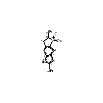 CC(C)c1cc2cc3c(nc2[nH]1)CC(C(C)C)S3(=O)=O